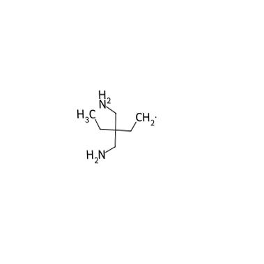 [CH2]CC(CC)(CN)CN